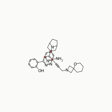 Nc1nnc(-c2ccccc2O)cc1N1CC2CCC(C1)N2c1ccnc(C#CCN2CC3(CCCCO3)C2)c1